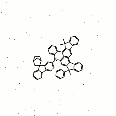 CC1(C)c2ccccc2-c2cccc(-c3ccccc3N(c3ccc4c(c3)C(C)(c3ccccc3)c3ccccc3-4)c3ccc4c(c3)C3(CC5CCC3C5)c3ccccc3-4)c21